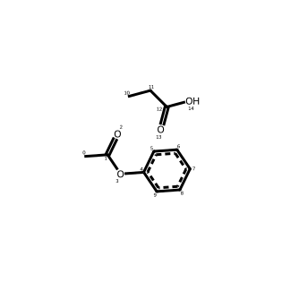 CC(=O)Oc1ccccc1.CCC(=O)O